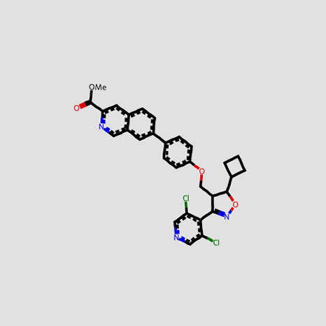 COC(=O)c1cc2ccc(-c3ccc(OCC4C(c5c(Cl)cncc5Cl)=NOC4C4CCC4)cc3)cc2cn1